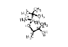 C[C](O[Si](C)(C)C(C)(C)C)C(C)O